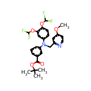 COc1ccnc(CN(c2cccc(C(=O)OC(C)(C)C)c2)c2ccc(OC(F)F)c(OC(F)F)c2)c1